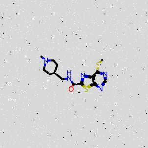 CSc1ncnc2sc(C(=O)NCC3CCN(C)CC3)nc12